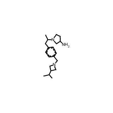 CC(C)C1CN(Cc2ccc(CC(C)N3CCC(N)C3)cc2)C1